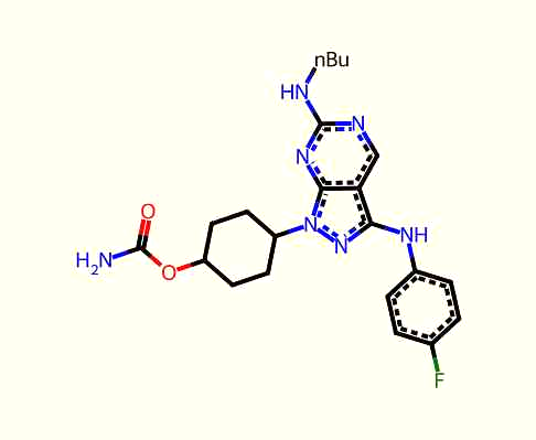 CCCCNc1ncc2c(Nc3ccc(F)cc3)nn(C3CCC(OC(N)=O)CC3)c2n1